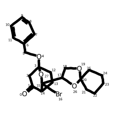 O=C1CC2(OCc3ccccc3)CCC1C(Br)(C1COC3(CCCCC3)O1)O2